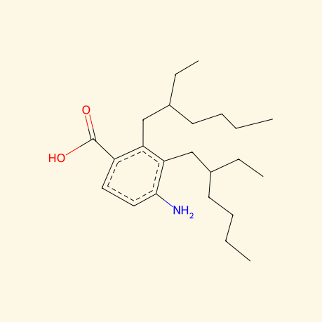 CCCCC(CC)Cc1c(N)ccc(C(=O)O)c1CC(CC)CCCC